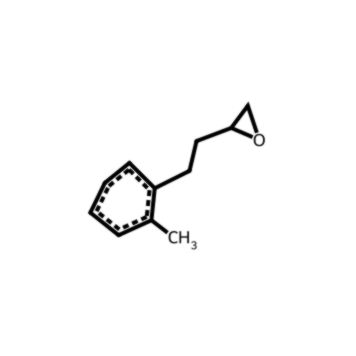 Cc1ccccc1CCC1CO1